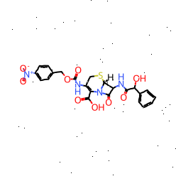 O=C(NC1=C(C(=O)O)N2C(=O)C(NC(=O)C(O)c3ccccc3)[C@H]2SC1)OCc1ccc([N+](=O)[O-])cc1